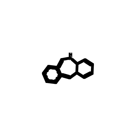 C1=CC2C=c3ccccc3=CNC2C=C1